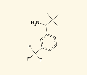 CC(C)(C)C(N)c1cccc(C(F)(F)F)c1